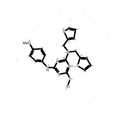 CCOc1nc(Nc2ccc(OC)cc2)nc(N(Cc2ccco2)Cc2cccs2)n1